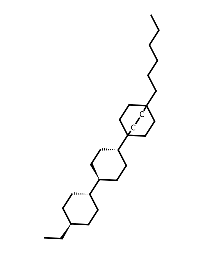 CCCCCCC12CCC([C@H]3CC[C@H]([C@H]4CC[C@H](CC)CC4)CC3)(CC1)CC2